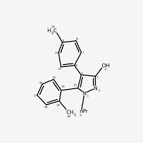 CCCn1nc(O)c(-c2ccc(C)cc2)c1-c1ccccc1C